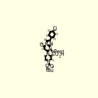 CCCCCn1c(N2CCN(C(=O)OC(C)(C)C)C[C@@H]2C(=O)O)cc(=O)n2cc(-c3ccc(Cl)cc3)nc12